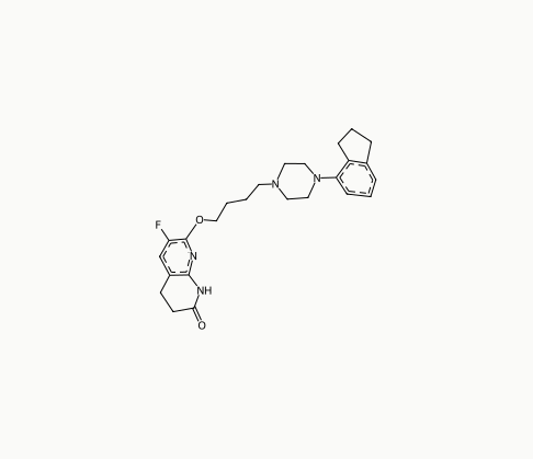 O=C1CCc2cc(F)c(OCCCCN3CCN(c4cccc5c4CCC5)CC3)nc2N1